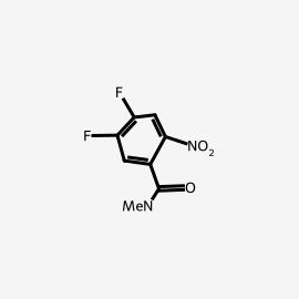 CNC(=O)c1cc(F)c(F)cc1[N+](=O)[O-]